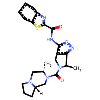 CC1c2[nH]nc(NC(=O)c3nc4ccccc4s3)c2CN1C(=O)N1C[C@@H]2CCCN2C[C@@H]1C